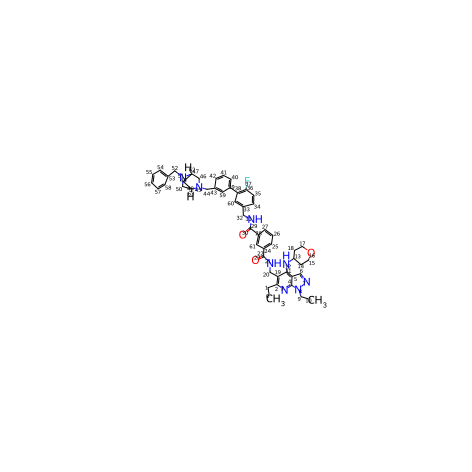 CCc1nc2c(cnn2CC)c(NC2CCOCC2)c1CNC(=O)c1cccc(C(=O)NCc2ccc(F)c(-c3cccc(CN4C[C@@H]5C[C@H]4CN5Cc4ccccc4)c3)c2)c1